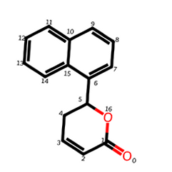 O=C1C=CCC(c2cccc3ccccc23)O1